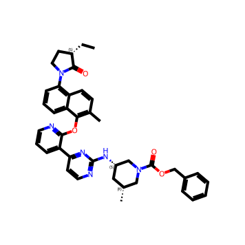 CC[C@H]1CCN(c2cccc3c(Oc4ncccc4-c4ccnc(N[C@H]5C[C@@H](C)CN(C(=O)OCc6ccccc6)C5)n4)c(C)ccc23)C1=O